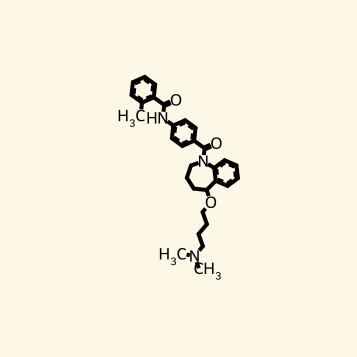 Cc1ccccc1C(=O)Nc1ccc(C(=O)N2CCCC(OCCCCN(C)C)c3ccccc32)cc1